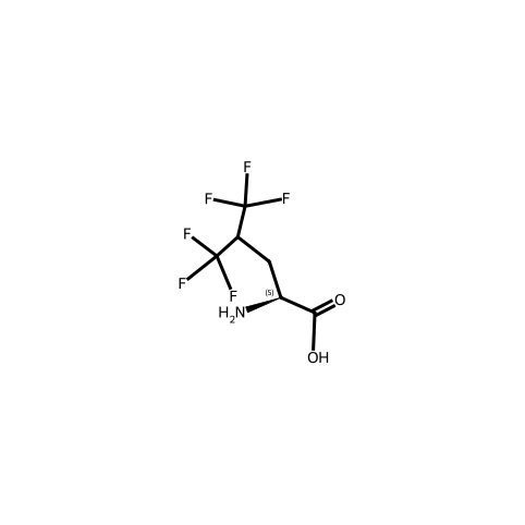 N[C@@H](CC(C(F)(F)F)C(F)(F)F)C(=O)O